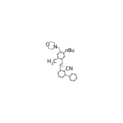 CCCCc1cc(/C=C/c2cccc(-c3ccccc3)c2C#N)c(C)cc1CN1CCOCC1